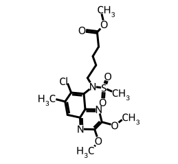 COC(=O)CCCCN(c1c(Cl)c(C)cc2nc(OC)c(OC)nc12)S(C)(=O)=O